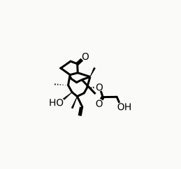 C=C[C@@]1(C)C[C@@H](OC(=O)CO)[C@]2(C)C(C)CC[C@]3(CCC(=O)C32)[C@@H](C)[C@@H]1O